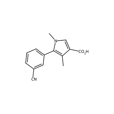 Cc1c(C(=O)O)cn(C)c1-c1cccc(C#N)c1